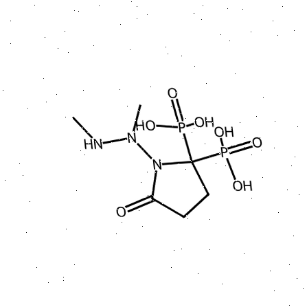 CNN(C)N1C(=O)CCC1(P(=O)(O)O)P(=O)(O)O